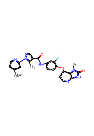 COc1ccnc(-n2ncc(C(=O)Nc3ccc(Oc4ccnc5[nH]c(=O)n(C(C)C)c45)c(F)c3)c2C(F)(F)F)c1